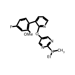 CCN(C)c1ncc(Oc2ncccc2-c2ccc(F)cc2OC)cn1